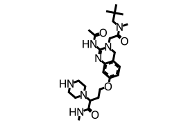 CNC(=O)C(CCOc1ccc2c(c1)N=C(NC(C)=O)N(CC(=O)N(C)CC(C)(C)C)C2)N1CCNCC1